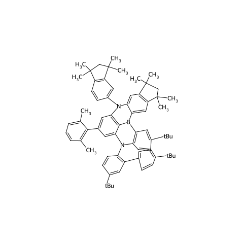 Cc1cccc(C)c1-c1cc2c3c(c1)N(c1ccc(C(C)(C)C)cc1-c1ccc(C(C)(C)C)cc1)c1ccc(C(C)(C)C)cc1B3c1cc3c(cc1N2c1ccc2c(c1)C(C)(C)CC2(C)C)C(C)(C)CC3(C)C